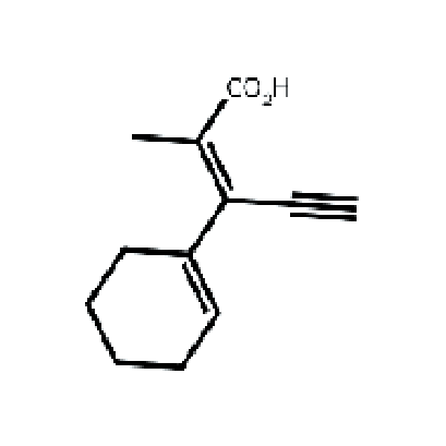 C#CC(C1=CCCCC1)=C(C)C(=O)O